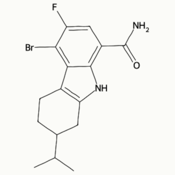 CC(C)C1CCc2c([nH]c3c(C(N)=O)cc(F)c(Br)c23)C1